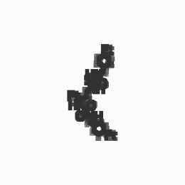 CCC1CCC(CNC(=O)C(=O)NC(CC)CCNC(=S)C(=O)NCC2CCC(CC)CC2)CC1